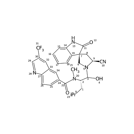 CC(C)C[C@@H](C(O)N1C[C@]2(C[C@H]1C#N)C(=O)Nc1ccccc12)N(C)C(=O)c1ccc2ncc(C(F)(F)F)cc2c1